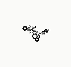 CC[C@H](C)[C@H](NC(=O)c1ccccc1)C(=O)N[C@H]1CCc2cccc3c2N(C1=O)[C@H](C(=O)NCc1c[nH]nn1)C3